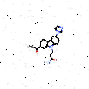 COC(=O)c1ccc2c3cc(-n4ccnc4)ccc3n(CCC(N)=O)c2c1